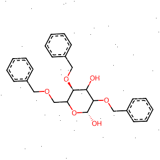 OC1C(OCc2ccccc2)[C@H](O)OC(COCc2ccccc2)[C@H]1OCc1ccccc1